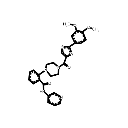 COc1ccc(-c2nc(C(=O)N3CCN(c4ccccc4C(=O)Nc4cccnc4)CC3)cs2)cc1OC